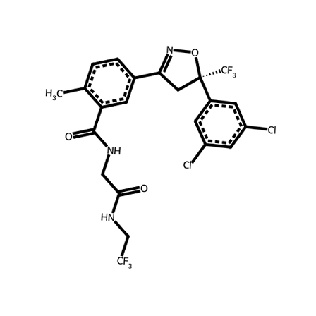 Cc1ccc(C2=NO[C@](c3cc(Cl)cc(Cl)c3)(C(F)(F)F)C2)cc1C(=O)NCC(=O)NCC(F)(F)F